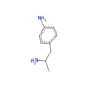 CC(N)Cc1ccc(N)cc1